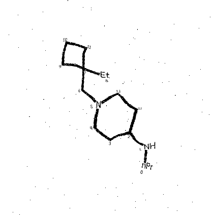 CCCNC1CCN(CC2(CC)CCC2)CC1